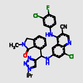 CC(C)n1cc(C(Nc2cc(Cl)c3ncc(C#N)c(Nc4ccc(F)c(Cl)c4)c3c2)c2cccc3c2C(=O)N(C)C3)nn1